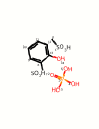 CS(=O)(=O)O.O=P(O)(O)O.O=S(=O)(O)c1ccccc1O